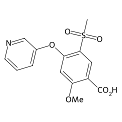 COc1cc(Oc2cccnc2)c(S(C)(=O)=O)cc1C(=O)O